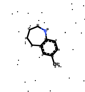 Cc1ccc2c(c1)CCCC[N]2